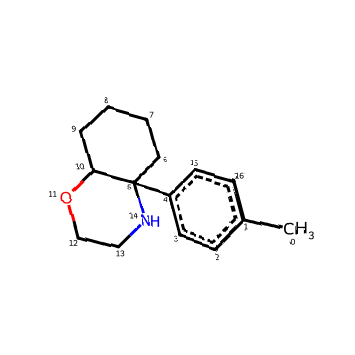 Cc1ccc(C23CCCCC2OCCN3)cc1